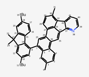 Cc1ccc2c(c1)c(-c1cc(C(C)(C)C)cc3c1-c1ccc(C(C)(C)C)cc1C3(C)C)cc1c3ccc(C)c4c3c(cc21)-c1ncccc1-4